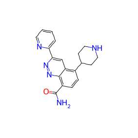 NC(=O)c1ccc(C2CCNCC2)c2cc(-c3ccccn3)nnc12